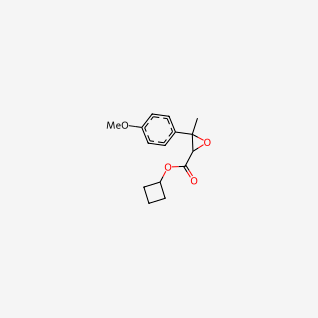 COc1ccc(C2(C)OC2C(=O)OC2CCC2)cc1